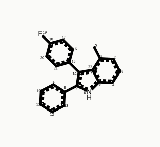 Cc1cccc2[nH]c(-c3ccccc3)c(-c3ccc(F)cc3)c12